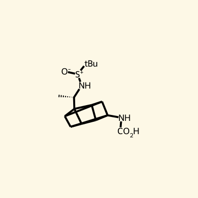 C[C@H](N[S+]([O-])C(C)(C)C)C12C3C4C1C1C2C3C41NC(=O)O